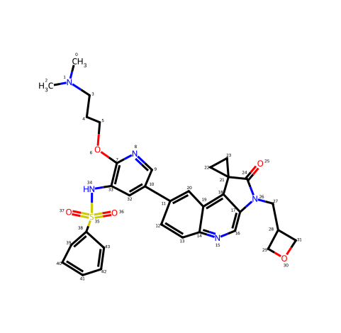 CN(C)CCCOc1ncc(-c2ccc3ncc4c(c3c2)C2(CC2)C(=O)N4CC2COC2)cc1NS(=O)(=O)c1ccccc1